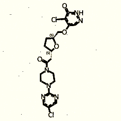 O=C(C[C@@H]1CC[C@@H](COc2cn[nH]c(=O)c2Cl)O1)N1CCN(c2ncc(Cl)cn2)CC1